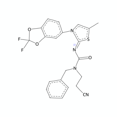 Cc1cn(-c2ccc3c(c2)OC(F)(F)O3)/c(=N/C(=O)N(CCC#N)Cc2ccccc2)s1